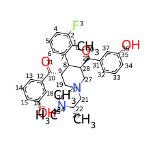 Cc1c(F)cccc1C1[C@@H](C(=O)c2cccc(O)c2)CN(C[C@H](C)N(C)C)C[C@@H]1C(=O)c1cccc(O)c1